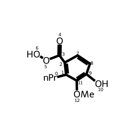 CCCc1c(C(=O)OO)ccc(O)c1OC